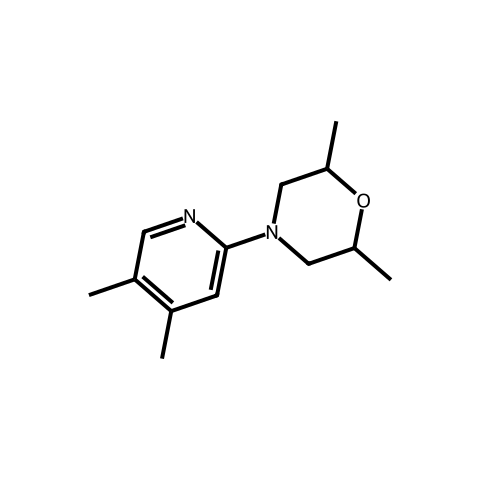 Cc1cnc(N2CC(C)OC(C)C2)cc1C